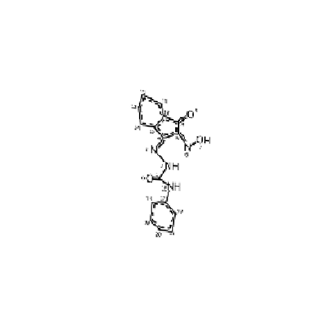 O=C(NN=c1c(=NO)c(=O)c2ccccc12)Nc1ccccc1